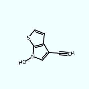 C#Cc1cn(O)c2sccc12